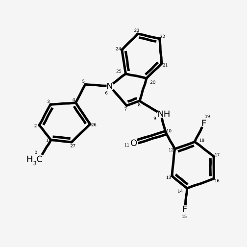 Cc1ccc(Cn2cc(NC(=O)c3cc(F)ccc3F)c3ccccc32)cc1